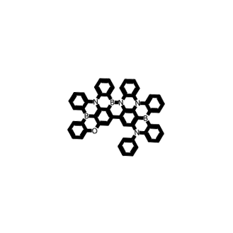 c1ccc(N2c3ccccc3B3c4ccccc4N4c5ccccc5N5B6c7ccccc7N7c8ccccc8B8c9ccccc9Oc9cc(c6c7c98)-c6cc2c3c4c65)cc1